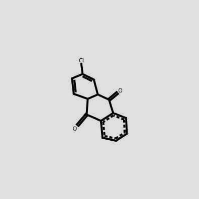 O=C1c2ccccc2C(=O)C2C=C(Cl)C=CC12